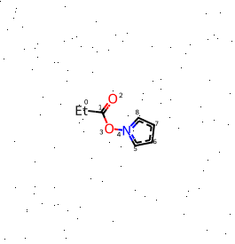 CCC(=O)On1cccc1